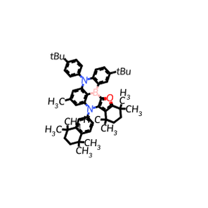 Cc1cc2c3c(c1)N(c1ccc4c(c1)C(C)(C)CCC4(C)C)c1c(oc4c1C(C)(C)CCC4(C)C)B3c1cc(C(C)(C)C)ccc1N2c1ccc(C(C)(C)C)cc1